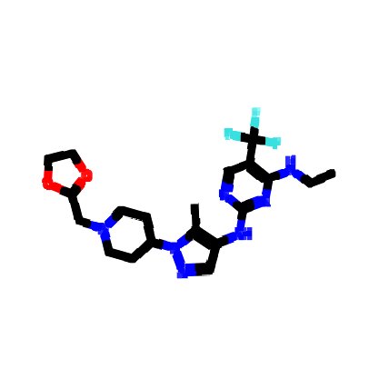 CCNc1nc(Nc2cnn(C3CCN(CC4OCCO4)CC3)c2C)ncc1C(F)(F)F